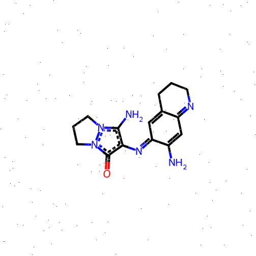 NC1=CC2=NCCCC2=C/C1=N\c1c(N)n2n(c1=O)CCC2